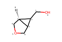 OCC1C2COC[C@@H]12